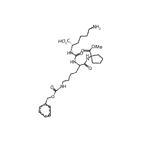 COC(=O)C1(NC(=O)C(CCCCNC(=O)OCc2ccccc2)NC(=O)N[C@@H](CCCCN)C(=O)O)CCCC1